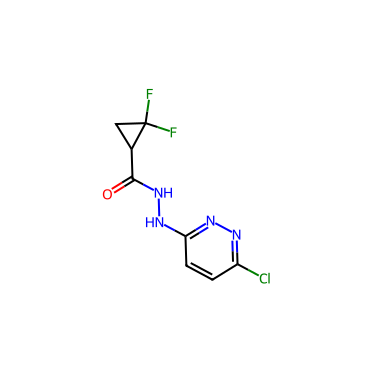 O=C(NNc1ccc(Cl)nn1)C1CC1(F)F